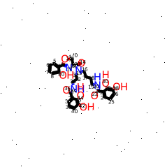 C[C@H]1OC(c2ccccc2O)=N[C@@H]1C(=O)N(CCCCNC(=O)c1cccc(O)c1O)CCCNC(=O)c1cccc(O)c1O